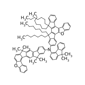 CCCCCCCC1(CCCCCCC)c2cc(N(c3ccc4c(c3)C(C)(C)c3cc5c(cc3-4)C(C)(C)c3ccc4oc6ccccc6c4c3-5)c3cccc4c3-c3ccccc3C4(C)C)ccc2-c2c1c1c(c3c2oc2ccccc23)-c2ccccc2C1(CCCCCCC)CCCCCCC